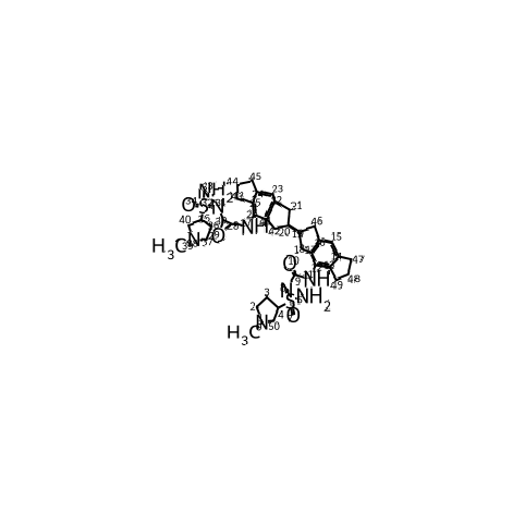 CN1CCC(S(N)(=O)=NC(=O)Nc2c3c(cc4c2CC(C2Cc5cc6c(c(NC7OC7N=S(N)(=O)C7CCN(C)C7)c5C2)CCC6)C4)CCC3)C1